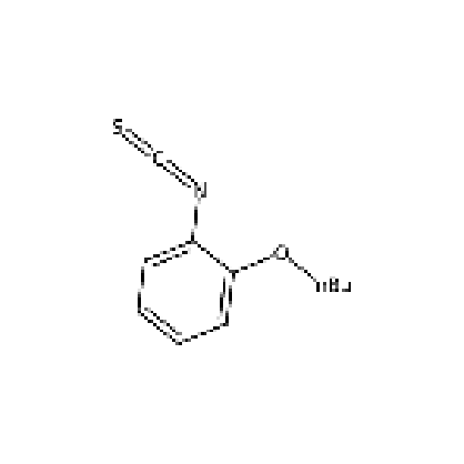 CCCCOc1ccccc1N=C=S